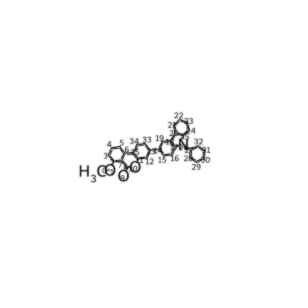 COc1cccc2c1c(=O)oc1cc(-c3ccc4c(c3)c3ccccc3n4-c3ccccc3)ccc12